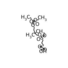 CCOP(=O)(OCC)OCCC(C)(C)COS(=O)(=O)CCCS(=O)(=O)O